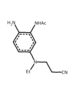 CCN(CCC#N)c1ccc(N)c(NC(C)=O)c1